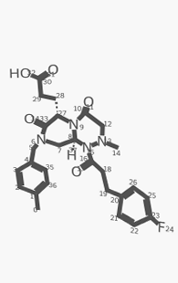 Cc1ccc(CN2C[C@H]3N(C(=O)CN(C)N3C(=O)CCc3ccc(F)cc3)[C@@H](CCC(=O)O)C2=O)cc1